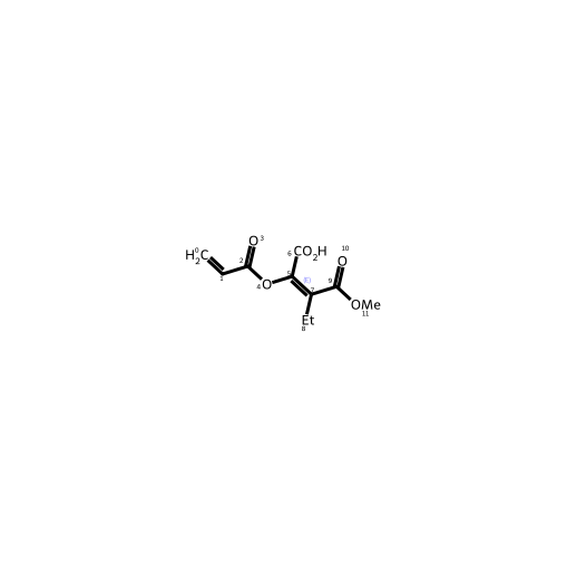 C=CC(=O)O/C(C(=O)O)=C(\CC)C(=O)OC